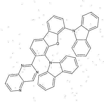 c1cnc2cnc(-c3ccc4c(oc5c(-n6c7ccccc7c7ccccc76)cccc54)c3-n3c4ccccc4c4ccccc43)nc2c1